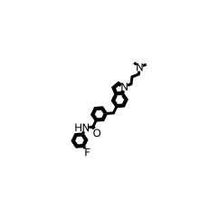 CN(C)CCCn1ccc2cc(Cc3cccc(C(=O)Nc4cccc(F)c4)c3)ccc21